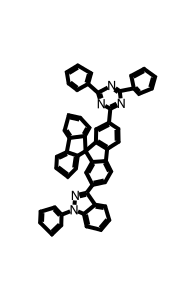 c1ccc(-c2nc(-c3ccccc3)nc(-c3ccc4c(c3)C3(c5ccccc5-c5ccccc53)c3cc(-c5nn(-c6ccccc6)c6ccccc56)ccc3-4)n2)cc1